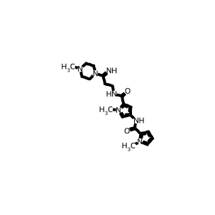 CN1CCN(C(=N)CCNC(=O)c2cc(NC(=O)c3cccn3C)cn2C)CC1